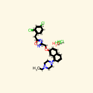 CCN1CCN(c2cccc3ccc(OCc4noc(Cc5ccc(Cl)cc5Cl)n4)cc23)CC1.Cl.Cl.O